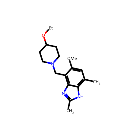 CCOC1CCN(Cc2c(OC)cc(C)c3[nH]c(C)nc23)CC1